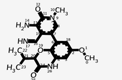 COc1cc2c(c(-c3cn(C)c(=O)c(N)c3C=N)c1)OC(C(C)C)C(=O)N2